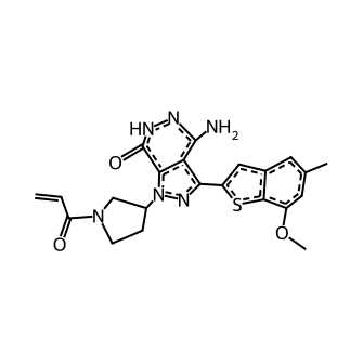 C=CC(=O)N1CCC(n2nc(-c3cc4cc(C)cc(OC)c4s3)c3c(N)n[nH]c(=O)c32)C1